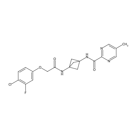 Cc1cnc(C(=O)NC23CC(NC(=O)COc4ccc(Cl)c(F)c4)(C2)C3)nc1